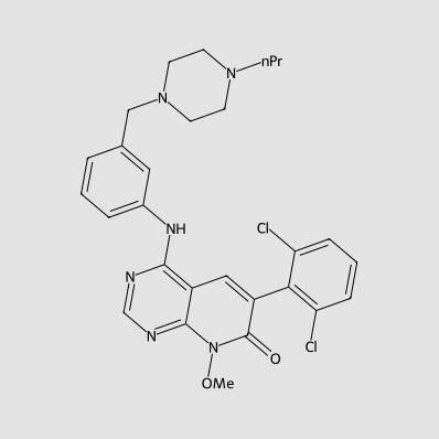 CCCN1CCN(Cc2cccc(Nc3ncnc4c3cc(-c3c(Cl)cccc3Cl)c(=O)n4OC)c2)CC1